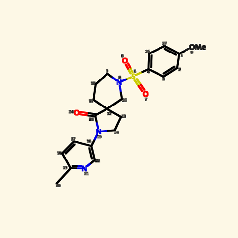 COc1ccc(S(=O)(=O)N2CCCC3(CCN(c4ccc(C)nc4)C3=O)C2)cc1